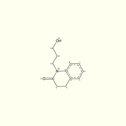 O=C1CCc2cc[c]cc2N1CCCO